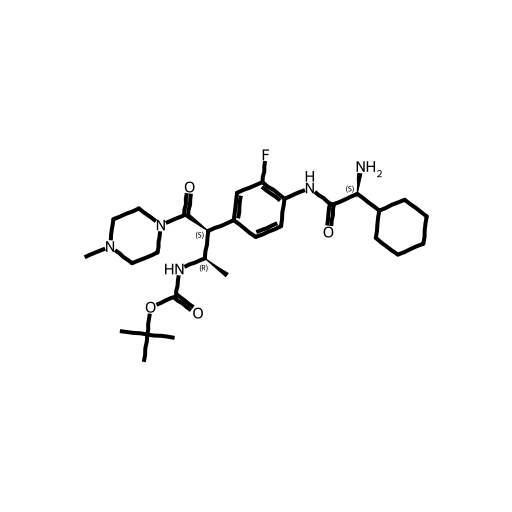 C[C@@H](NC(=O)OC(C)(C)C)[C@@H](C(=O)N1CCN(C)CC1)c1ccc(NC(=O)[C@@H](N)C2CCCCC2)c(F)c1